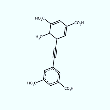 CC1C(C(=O)O)=CC(C(=O)O)=CC1C#Cc1cc(C(=O)O)cc(C(=O)O)c1